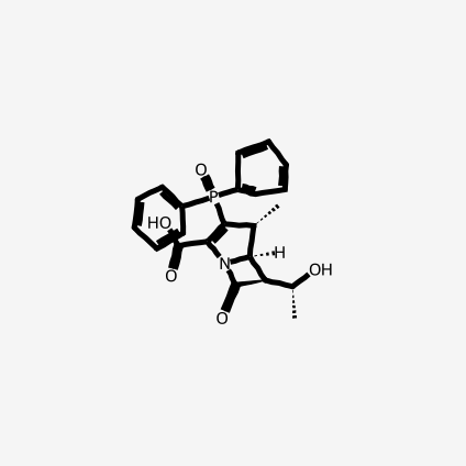 C[C@@H](O)[C@H]1C(=O)N2C(C(=O)O)=C(P(=O)(c3ccccc3)c3ccccc3)[C@H](C)[C@@H]12